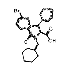 O=C(O)c1c(-c2ccccc2)c2cc(Br)ccc2c(=O)n1CC1CCCCC1